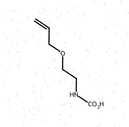 C=CCOCCNC(=O)O